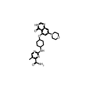 Cc1cnc(NC2CCC(Oc3cc(N4CCOCC4)cc4nc[nH]c(=O)c34)CC2)nc1C(N)=O